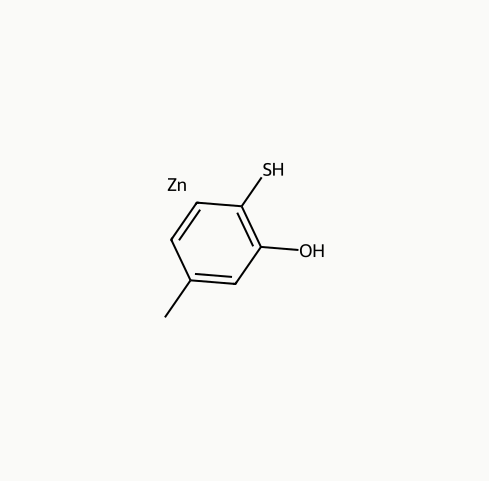 Cc1ccc(S)c(O)c1.[Zn]